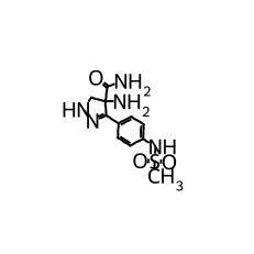 CS(=O)(=O)Nc1ccc(C2=NNCC2(N)C(N)=O)cc1